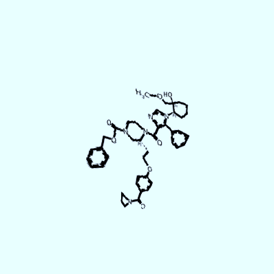 COC[C@]1(O)CCCC[C@H]1n1cnc(C(=O)N2CCN(C(=O)OCc3ccccc3)C[C@H]2CCOc2ccc(C(=O)N3CCC3)cc2)c1-c1ccccc1